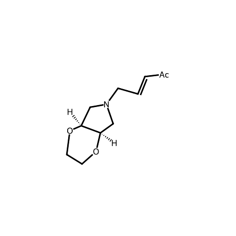 CC(=O)/C=C/CN1C[C@@H]2OCCO[C@@H]2C1